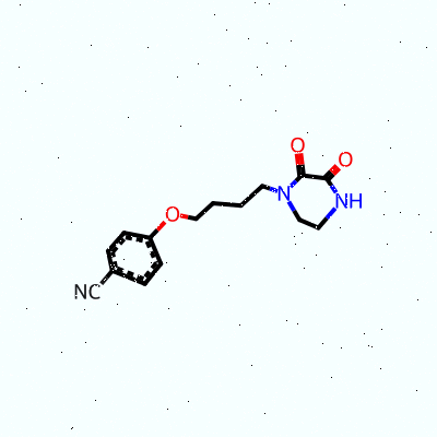 N#Cc1ccc(OCCCCN2CCNC(=O)C2=O)cc1